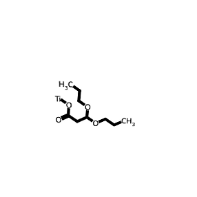 CCCOC(CC(=O)[O][Ti])OCCC